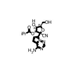 CC(C)C(=O)O[C@@H]1[C@H](O)[C@@H](CO)O[C@@]1(C#N)c1ccc2c(N)ncnn12